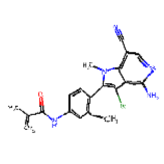 C=C(C)C(=O)Nc1ccc(-c2c(Br)c3c(N)ncc(C#N)c3n2C)c(C)c1